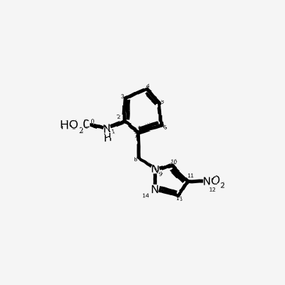 O=C(O)Nc1ccccc1Cn1cc([N+](=O)[O-])cn1